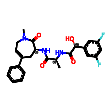 C[C@H](NC(=O)[C@H](O)c1cc(F)cc(F)c1)C(=O)N[C@H]1CC(c2ccccc2)=CCN(C)C1=O